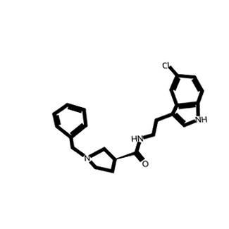 O=C(NCCc1c[nH]c2ccc(Cl)cc12)[C@H]1CCN(Cc2ccccc2)C1